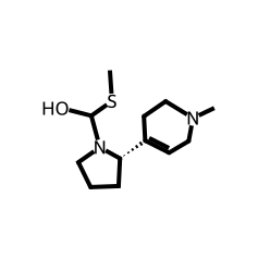 CSC(O)N1CCC[C@H]1C1=CCN(C)CC1